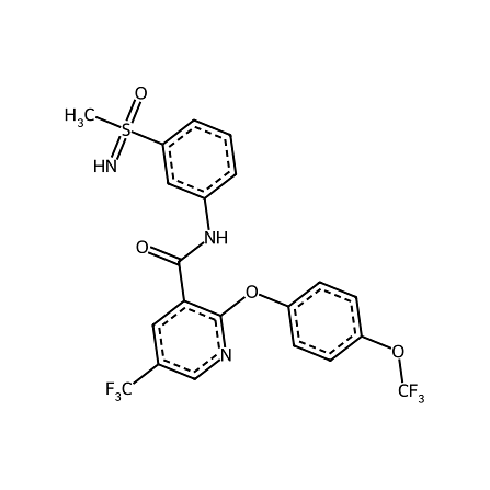 CS(=N)(=O)c1cccc(NC(=O)c2cc(C(F)(F)F)cnc2Oc2ccc(OC(F)(F)F)cc2)c1